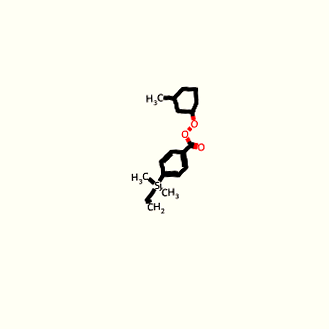 C=C[Si](C)(C)c1ccc(C(=O)OO[C]2CCCC(C)C2)cc1